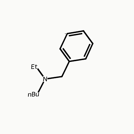 CCCCN(CC)Cc1c[c]ccc1